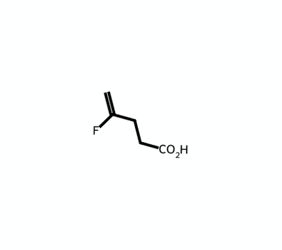 C=C(F)CCC(=O)O